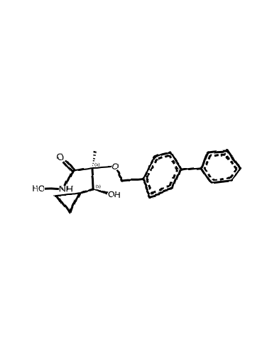 C[C@@](OCc1ccc(-c2ccccc2)cc1)(C(=O)NO)[C@@H](O)C1CC1